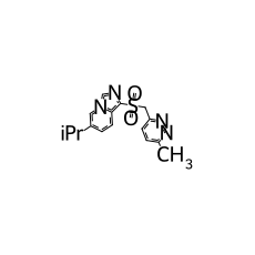 Cc1ccc(CS(=O)(=O)c2ncn3cc(C(C)C)ccc23)nn1